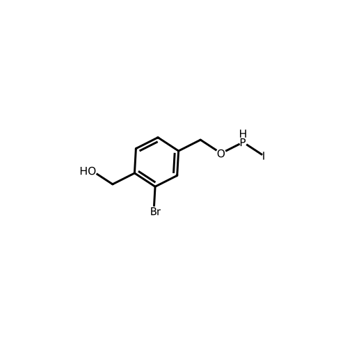 OCc1ccc(COPI)cc1Br